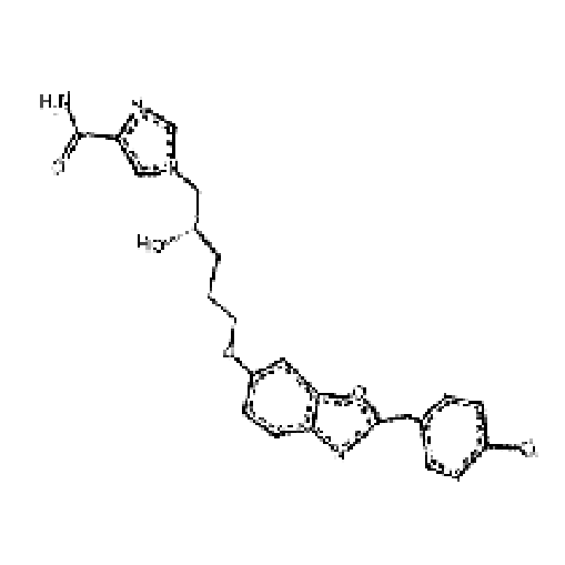 NC(=O)c1cn(C[C@@H](O)CCCOc2ccc3nc(-c4ccc(Cl)cc4)oc3c2)cn1